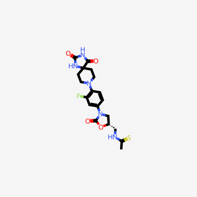 CC(=S)NC[C@H]1CN(c2ccc(N3CCC4(CC3)NC(=O)NC4=O)c(F)c2)C(=O)O1